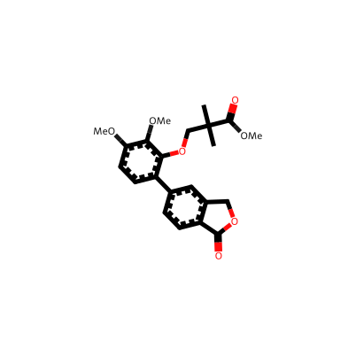 COC(=O)C(C)(C)COc1c(-c2ccc3c(c2)COC3=O)ccc(OC)c1OC